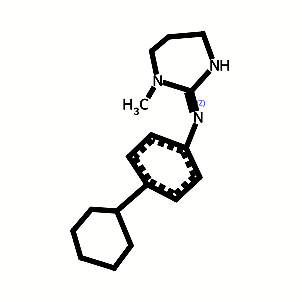 CN1CCCN/C1=N/c1ccc(C2CCCCC2)cc1